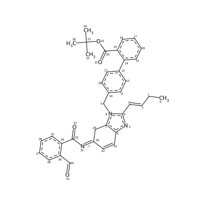 CCC=Cc1nc2c(n1Cc1ccc(-c3ccccc3C(=O)OC(C)(C)C)cc1)C/C(=N\C(=O)c1ccccc1C=O)C=C2